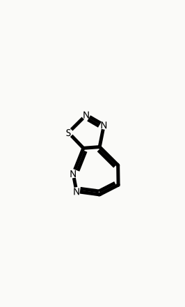 C1=CC=c2nnsc2=NN=1